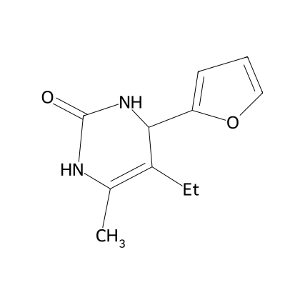 [CH2]CC1=C(C)NC(=O)NC1c1ccco1